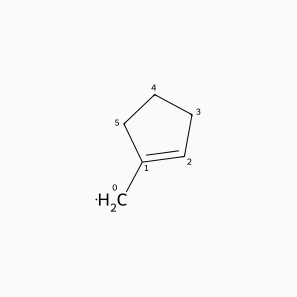 [CH2]C1=CCCC1